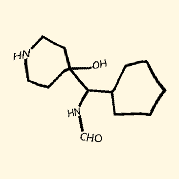 O=CNC(C1CCCCC1)C1(O)CCNCC1